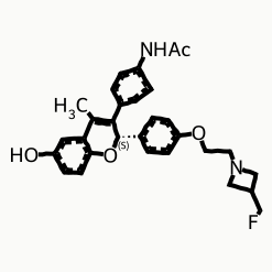 CC(=O)Nc1ccc(C2=C(C)c3cc(O)ccc3O[C@H]2c2ccc(OCCN3CC(CF)C3)cc2)cc1